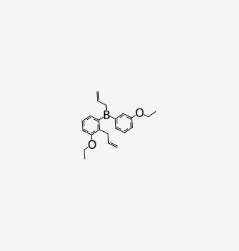 C=CCB(c1cccc(OCC)c1)c1cccc(OCC)c1CC=C